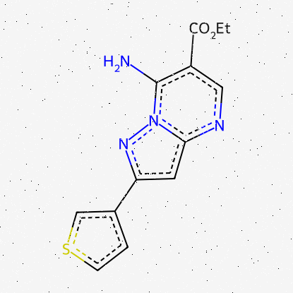 CCOC(=O)c1cnc2cc(-c3ccsc3)nn2c1N